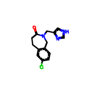 O=C1CCc2cc(Cl)ccc2CN1Cc1c[nH]cn1